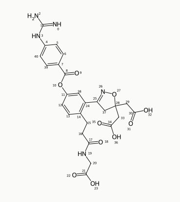 N=C(N)Nc1ccc(C(=O)Oc2ccc(CCC(=O)NCC(=O)O)c(C3=NOC(CC(=O)O)(CC(=O)O)C3)c2)cc1